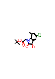 Cc1cc(Cl)cc2c1N(CC(=O)OC(C)(C)C)C(=O)C2=O